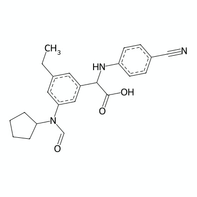 CCc1cc(C(Nc2ccc(C#N)cc2)C(=O)O)cc(N(C=O)C2CCCC2)c1